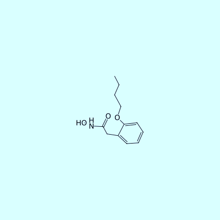 CCCCOc1ccccc1CC(=O)NO